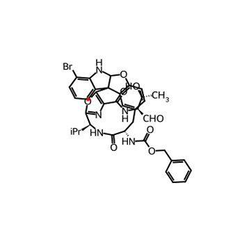 CC(C)[C@@H]1NC(=O)[C@@H](NC(=O)OCc2ccccc2)Cc2ccc3c(c2)C2(c4cccc(Br)c4NC2O3)c2oc1nc2C(=O)N[C@H](C=O)[C@@H](C)O